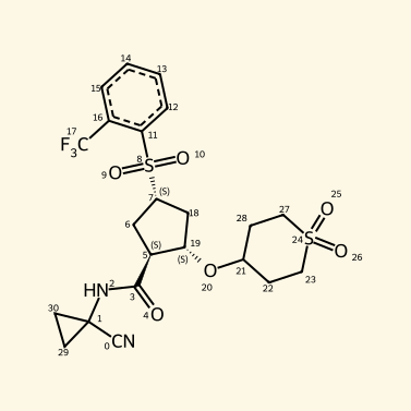 N#CC1(NC(=O)[C@H]2C[C@H](S(=O)(=O)c3ccccc3C(F)(F)F)C[C@@H]2OC2CCS(=O)(=O)CC2)CC1